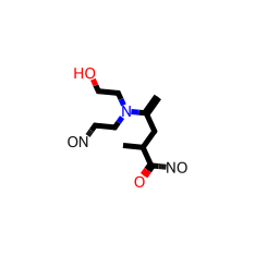 C=C(CC(C)C(=O)N=O)N(CCO)CCN=O